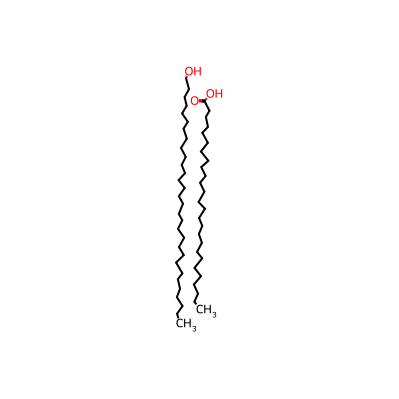 CCCCCCCCCCCCCCCCCCCCCCCCCC(=O)O.CCCCCCCCCCCCCCCCCCCCCCCCCCCCCCO